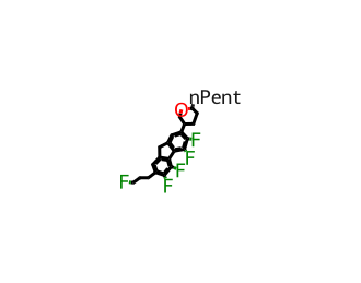 CCCCCC1CCC(c2cc3c(c(F)c2F)-c2c(cc(CCCF)c(F)c2F)C3)CO1